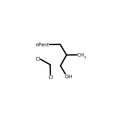 CCCCCCC(C)CO.ClCCl